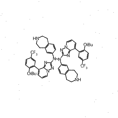 CC(C)COc1ccc(C(F)(F)F)cc1-c1cccn2nc(N(c3ccc4c(c3)CCNCC4)N(c3ccc4c(c3)CCNCC4)c3nc4c(-c5cc(C(F)(F)F)ccc5OCC(C)C)cccn4n3)nc12